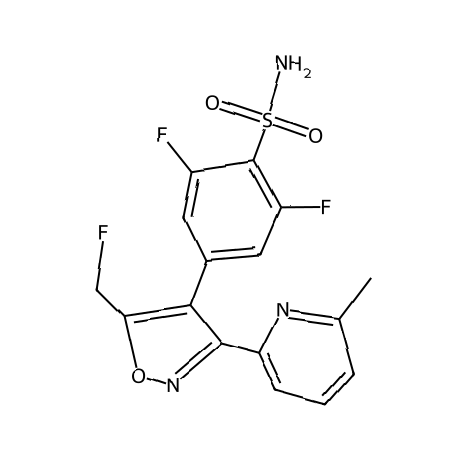 Cc1cccc(-c2noc(CF)c2-c2cc(F)c(S(N)(=O)=O)c(F)c2)n1